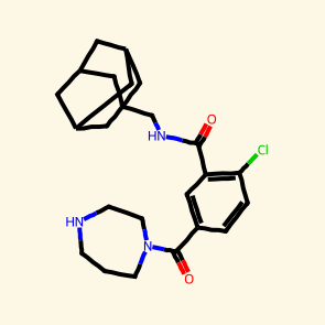 O=C(NCC12CC3CC(CC(C3)C1)C2)c1cc(C(=O)N2CCCNCC2)ccc1Cl